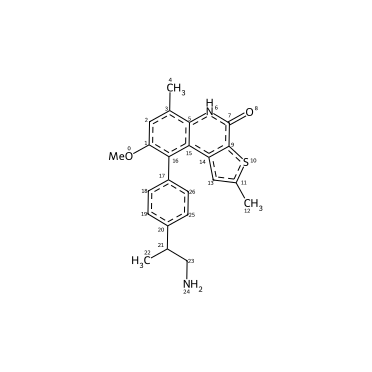 COc1cc(C)c2[nH]c(=O)c3sc(C)cc3c2c1-c1ccc(C(C)CN)cc1